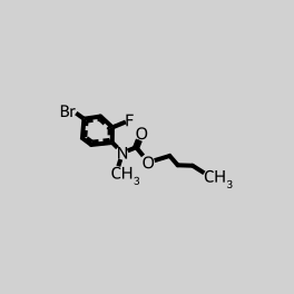 CCCCOC(=O)N(C)c1ccc(Br)cc1F